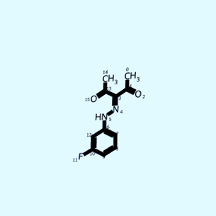 CC(=O)C(=NNc1cccc(F)c1)C(C)=O